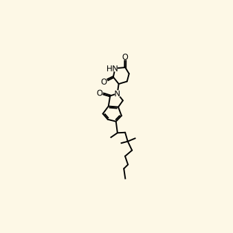 CCCCCC(C)(C)CC(C)c1ccc2c(c1)CN(C1CCC(=O)NC1=O)C2=O